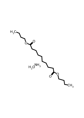 CCCCOC(=O)CCCCCCCCC(=O)OCCCC.N.O